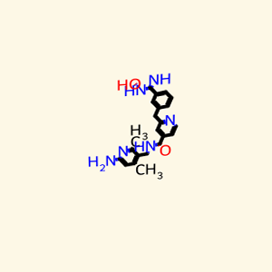 Cc1cc(N)nc(C)c1CNC(=O)c1ccnc(Cc2cccc(C(=N)NO)c2)c1